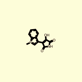 Cn1cc(C2=C(O)C(=O)NC2=O)c2ccccc21